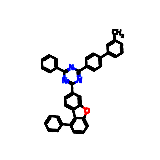 Cc1cccc(-c2ccc(-c3nc(-c4ccccc4)nc(-c4ccc5c(c4)oc4cccc(-c6ccccc6)c45)n3)cc2)c1